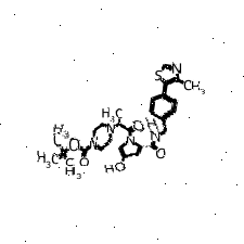 Cc1ncsc1-c1ccc(CNC(=O)[C@@H]2C[C@@H](O)CN2C(=O)C(C)N2CCN(C(=O)OC(C)(C)C)CC2)cc1